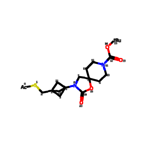 CC(=O)SCC12CC(N3CC4(CCN(C(=O)OC(C)(C)C)CC4)OC3=O)(C1)C2